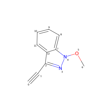 C#Cc1nn(OC)c2ccccc12